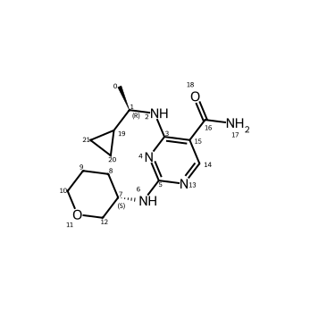 C[C@@H](Nc1nc(N[C@H]2CCCOC2)ncc1C(N)=O)C1CC1